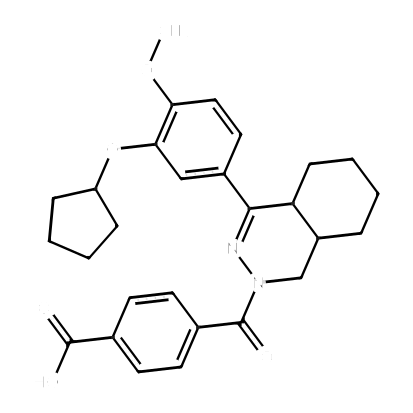 COc1ccc(C2=NN(C(=O)c3ccc(C(=O)O)cc3)CC3CCCCC23)cc1OC1CCCC1